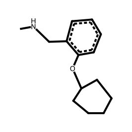 CNCc1ccccc1OC1CCCCC1